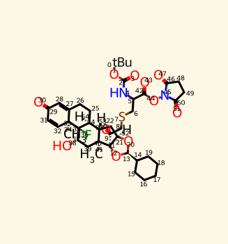 CC(C)(C)OC(=O)NC(CSCC(=O)[C@@]12O[C@H](C3CCCCC3)O[C@@H]1C[C@H]1[C@@H]3CCC4=CC(=O)C=C[C@]4(C)[C@@]3(F)[C@@H](O)C[C@@]12C)C(=O)ON1C(=O)CCC1=O